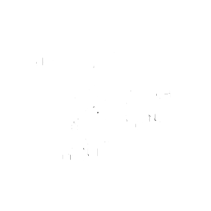 Cc1noc2c1-c1ccccc1C(c1ccc(Cl)cc1)=N[C@H]2CC(=O)NC(C)C